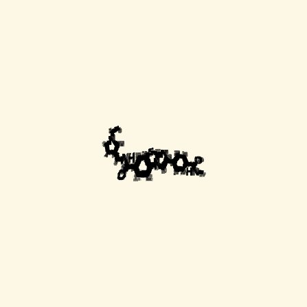 CCN1CCC(CNC(=O)c2ccc3c(c2)sc2nc(-c4ccc(C(=O)NC)cc4)cn23)C1